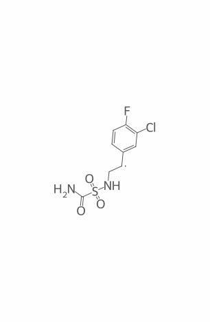 NC(=O)S(=O)(=O)NC[CH]c1ccc(F)c(Cl)c1